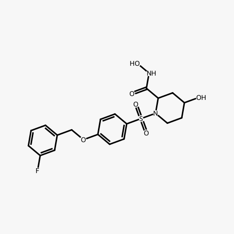 O=C(NO)C1CC(O)CCN1S(=O)(=O)c1ccc(OCc2cccc(F)c2)cc1